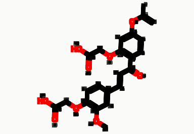 C=C(C)Oc1ccc(C(=O)C=Cc2ccc(OCC(=O)O)c(OC)c2)c(OCC(=O)O)c1